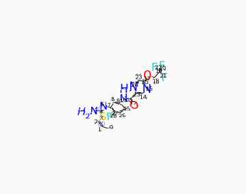 C/C=C\S/C(N)=N\c1cc(NC(=O)c2cnc(OCC(F)(F)F)cn2)ccc1F